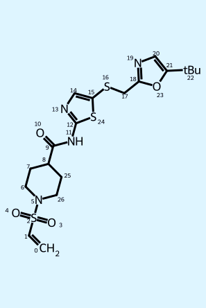 C=CS(=O)(=O)N1CCC(C(=O)Nc2ncc(SCc3ncc(C(C)(C)C)o3)s2)CC1